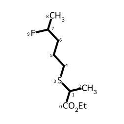 CCOC(=O)C(C)SCCCC(C)F